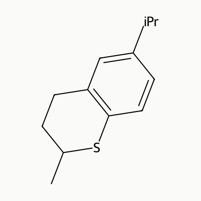 CC1CCc2cc(C(C)C)ccc2S1